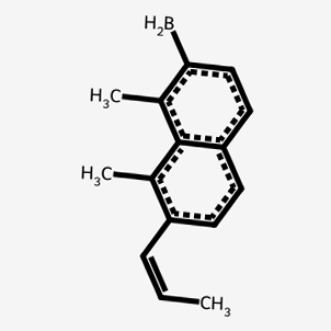 Bc1ccc2ccc(/C=C\C)c(C)c2c1C